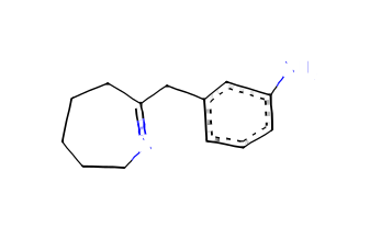 Nc1cccc(CC2=NCCCCC2)c1